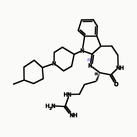 CC1CCC(N2CCC(N3/C4=N/[C@@H](CCCNC(=N)N)C(=O)NCCC4c4ccccc43)CC2)CC1